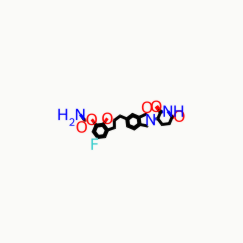 NC(=O)Oc1cc(F)cc2c1OC(Cc1ccc3c(c1)C(=O)N(C1CCC(=O)NC1=O)C3)C2